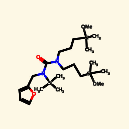 CO[Si](C)(C)CCCN(CCC[Si](C)(C)OC)C(=O)N(Cc1ccco1)[Si](C)(C)C